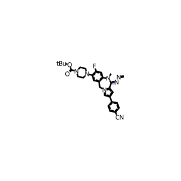 C=N/N=C1/c2cc(-c3ccc(C#N)cc3)cn2Cc2cc(N3CCN(C(=O)OC(C)(C)C)CC3)c(F)cc2N1C